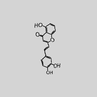 O=c1cc(/C=C/c2ccc(O)c(O)c2)oc2cccc(O)c12